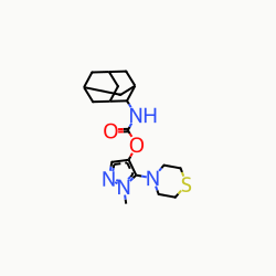 Cn1ncc(OC(=O)NC2C3CC4CC(C3)CC2C4)c1N1CCSCC1